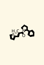 C/C(=C\c1cccs1)C(=O)N1CCCC1c1ccccc1